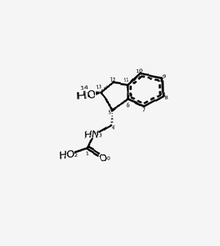 O=C(O)NC[C@H]1c2ccccc2C[C@@H]1O